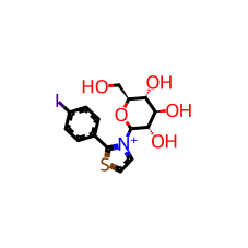 OC[C@@H]1OC([n+]2ccsc2-c2ccc(I)cc2)[C@@H](O)[C@H](O)[C@H]1O